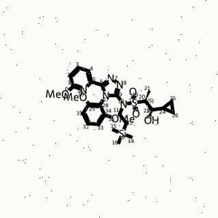 COc1cccc(-c2nnc(N(CC[Si](C)(C)C)S(=O)(=O)[C@@H](C)[C@H](O)C3CC3)n2-c2c(OC)cccc2OC)n1